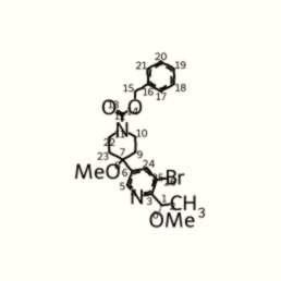 CO[C@@H](C)c1ncc(C2(OC)CCN(C(=O)OCc3ccccc3)CC2)cc1Br